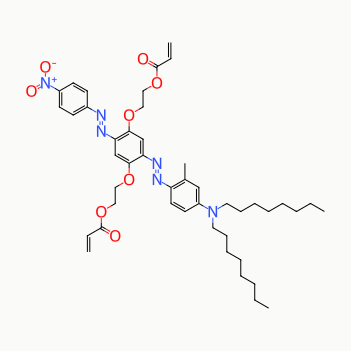 C=CC(=O)OCCOc1cc(N=Nc2ccc(N(CCCCCCCC)CCCCCCCC)cc2C)c(OCCOC(=O)C=C)cc1N=Nc1ccc([N+](=O)[O-])cc1